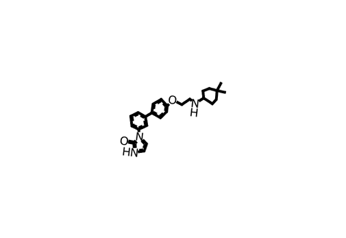 CC1(C)CCC(NCCOc2ccc(-c3cccc(-n4cc[nH]c4=O)c3)cc2)CC1